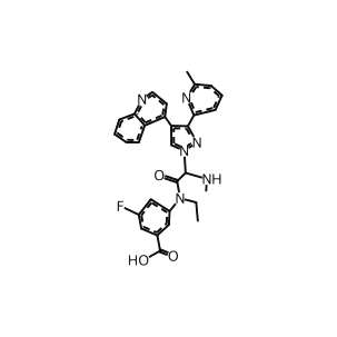 CCN(C(=O)C(NC)n1cc(-c2ccnc3ccccc23)c(-c2cccc(C)n2)n1)c1cc(F)cc(C(=O)O)c1